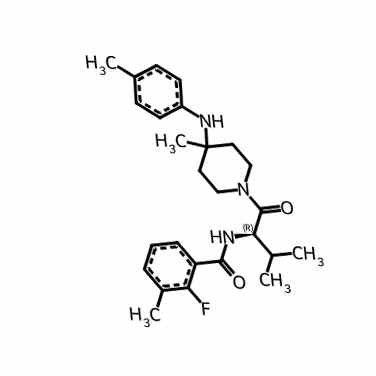 Cc1ccc(NC2(C)CCN(C(=O)[C@H](NC(=O)c3cccc(C)c3F)C(C)C)CC2)cc1